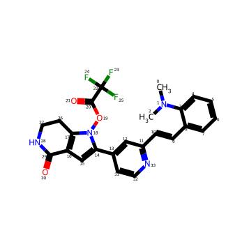 CN(C)c1ccccc1C=Cc1cc(-c2cc3c(n2OC(=O)C(F)(F)F)CCNC3=O)ccn1